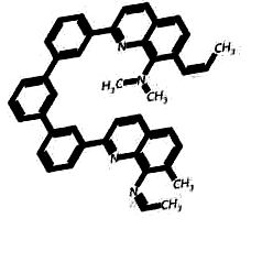 C/C=C\c1ccc2ccc(-c3cccc(-c4cccc(-c5cccc(-c6ccc7ccc(C)c(/N=C\C)c7n6)c5)c4)c3)nc2c1N(C)C